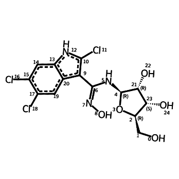 OC[C@H]1O[C@@H](NC(=NO)c2c(Cl)[nH]c3cc(Cl)c(Cl)cc23)[C@H](O)[C@@H]1O